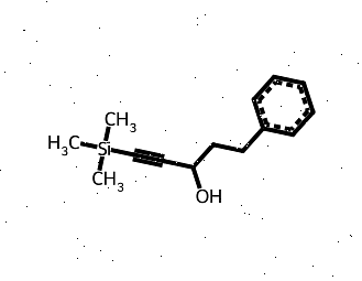 C[Si](C)(C)C#CC(O)CCc1ccccc1